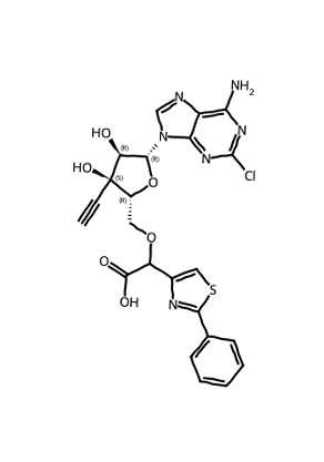 C#C[C@@]1(O)[C@@H](COC(C(=O)O)c2csc(-c3ccccc3)n2)O[C@@H](n2cnc3c(N)nc(Cl)nc32)[C@@H]1O